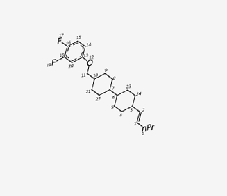 CCCC=CC1CCC(C2CCC(COc3ccc(F)c(F)c3)CC2)CC1